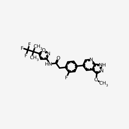 COc1n[nH]c2ncc(-c3ccc(CC(=O)Nc4cc(C(C)(C)C(F)(F)F)on4)c(F)c3)cc12